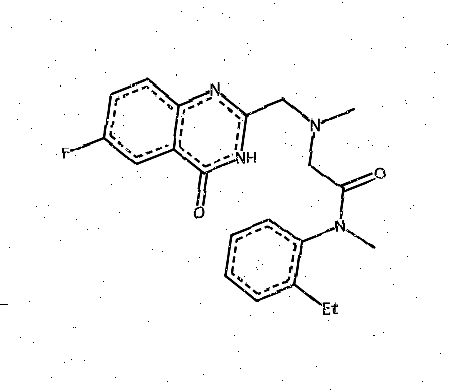 CCc1ccccc1N(C)C(=O)CN(C)Cc1nc2ccc(F)cc2c(=O)[nH]1